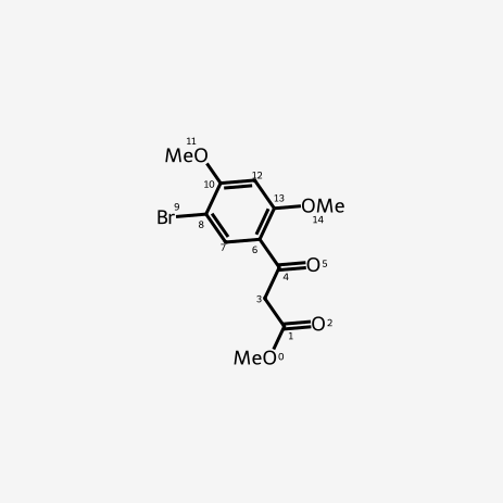 COC(=O)CC(=O)c1cc(Br)c(OC)cc1OC